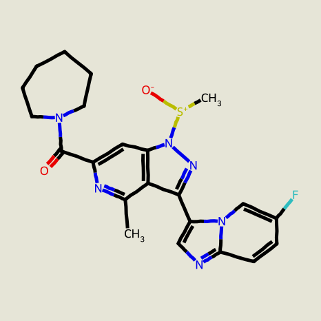 Cc1nc(C(=O)N2CCCCCC2)cc2c1c(-c1cnc3ccc(F)cn13)nn2[S+](C)[O-]